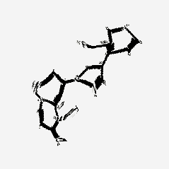 O=c1ccn2ncc(-n3cc(-c4ccncc4F)cn3)c2[nH]1